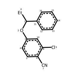 CCC(Oc1ccc(C#N)c(Cl)c1)c1ccccc1